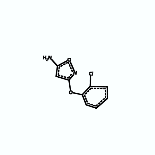 Nc1cc(Oc2ccccc2Cl)no1